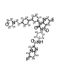 O=C(NC1CCC(n2c(=O)c3cc(F)cnc3n(-c3cccc(-c4ccc(CCN5CCOCC5)cc4)c3)c2=O)CC1)c1cn2cc(F)ccc2n1